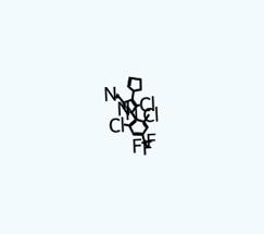 N#Cc1nn(-c2c(Cl)cc(C(F)(F)F)cc2Cl)c(Cl)c1C1C=CCC1